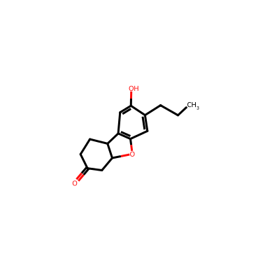 CCCc1cc2c(cc1O)C1CCC(=O)CC1O2